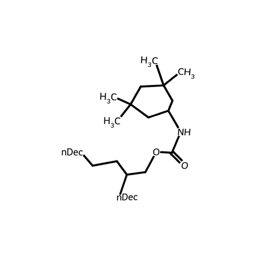 CCCCCCCCCCCCC(CCCCCCCCCC)COC(=O)NC1CC(C)(C)CC(C)(C)C1